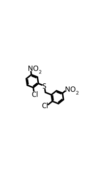 O=[N+]([O-])c1ccc(Cl)c(CSc2cc([N+](=O)[O-])ccc2Cl)c1